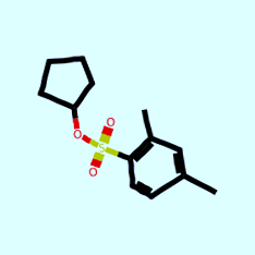 Cc1ccc(S(=O)(=O)OC2CCCC2)c(C)c1